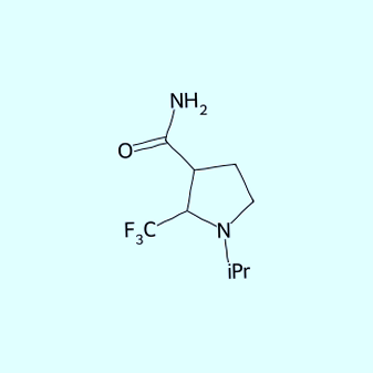 CC(C)N1CCC(C(N)=O)C1C(F)(F)F